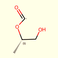 C[C@@H](CO)O[C]=O